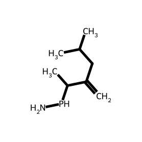 C=C(CC(C)C)C(C)PN